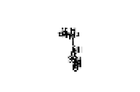 Cc1nc2ccccc2nc1-c1cnn(CCCCCCNc2ccc3c(c2)C(=O)N(C2CCC(=O)NC2=O)C3=O)c1